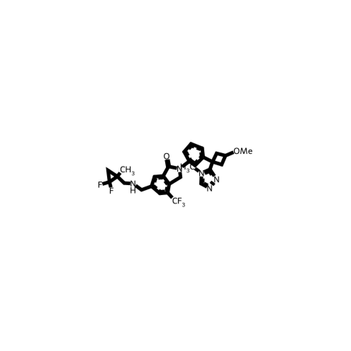 COC1CC(c2cccc(N3Cc4c(cc(CNCC5(C)CC5(F)F)cc4C(F)(F)F)C3=O)c2)(c2nncn2C)C1